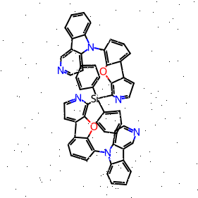 c1ccc([Si](c2ccccc2)(c2nccc3c2oc2c(-n4c5ccccc5c5cnccc54)cccc23)c2nccc3c2oc2c(-n4c5ccccc5c5cnccc54)cccc23)cc1